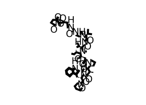 CC[C@H](C)[C@@H]([C@@H](CC(=O)N1CCC[C@H]1[C@H](OC)[C@@H](C)C(=O)N[C@@H](Cc1c[nH]c2ccccc12)C(=O)N1CCCCO1)OC)N(C)[C@H](C(=O)NC(=O)[C@H](C(C)C)N(C)CCNC(=O)NCCC(=O)ON1C(=O)CCC1=O)C(C)C